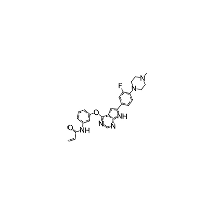 C=CC(=O)Nc1cccc(Oc2ncnc3[nH]c(-c4ccc(N5CCN(C)CC5)c(F)c4)cc23)c1